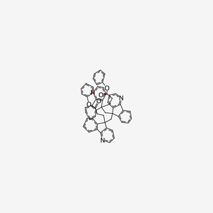 O=C(CCC1(CC2(CC3(CCC(=O)Oc4ccccc4)c4ccccc4-c4ncccc43)c3ccccc3-c3ncccc32)c2ccccc2-c2ncccc21)Oc1ccccc1